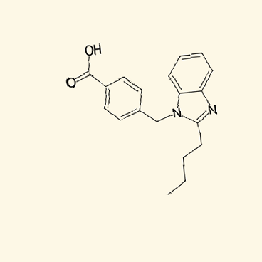 CCCCc1nc2ccccc2n1Cc1ccc(C(=O)O)cc1